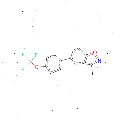 Cc1noc2ccc(-c3ccc(OC(F)(F)F)cc3)cc12